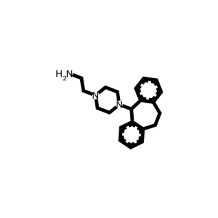 NCCN1CCN(C2c3ccccc3CCc3ccccc32)CC1